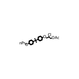 [CH2][CH]COc1ccc(C(C)(C)c2ccc(OCC(Cl)COC(C)=O)cc2)cc1